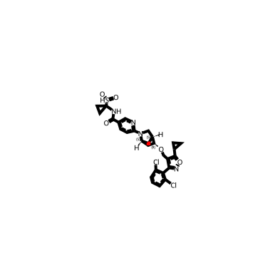 O=C(NC1([SH](=O)=O)CC1)c1ccc(N2C[C@@H]3C[C@H]2C[C@H]3OCc2c(-c3c(Cl)cccc3Cl)noc2C2CC2)nc1